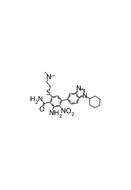 CN(C)CCSc1cc(-c2ccc3c(c2)ncn3C2CCCCC2)c([N+](=O)[O-])c(N)c1C(N)=O